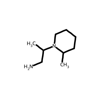 CC(CN)N1CCCCC1C